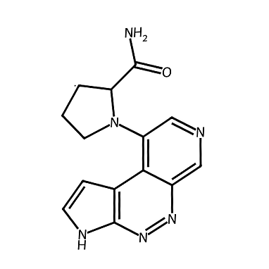 NC(=O)C1[CH]CCN1c1cncc2nnc3[nH]ccc3c12